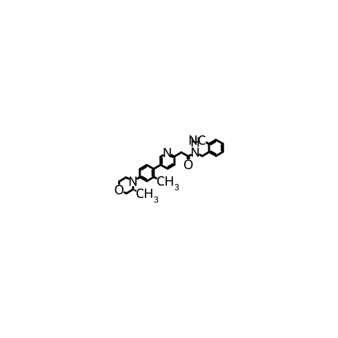 Cc1cc(N2CCOC[C@@H]2C)ccc1-c1ccc(CC(=O)NCc2ccccc2C#N)nc1